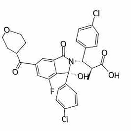 C[C@H](C(=O)O)[C@@H](c1ccc(Cl)cc1)N1C(=O)c2cc(C(=O)C3CCOCC3)cc(F)c2[C@]1(O)c1ccc(Cl)cc1